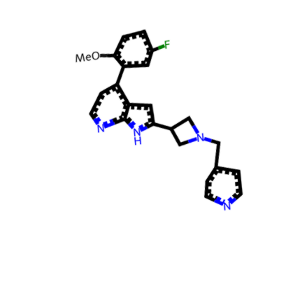 COc1ccc(F)cc1-c1ccnc2[nH]c(C3CN(Cc4ccncc4)C3)cc12